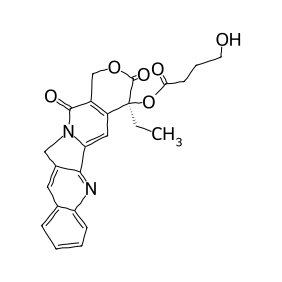 CC[C@@]1(OC(=O)CCCO)C(=O)OCc2c1cc1n(c2=O)Cc2cc3ccccc3nc2-1